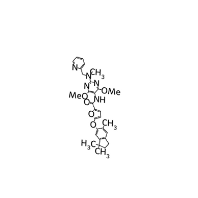 COc1nc(N(C)Cc2ccccn2)nc(OC)c1NC(=O)c1ccc(Oc2cc3c(cc2C)CCC3(C)C)o1